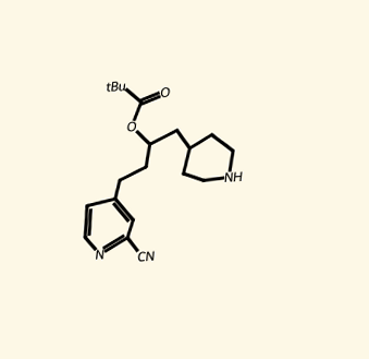 CC(C)(C)C(=O)OC(CCc1ccnc(C#N)c1)CC1CCNCC1